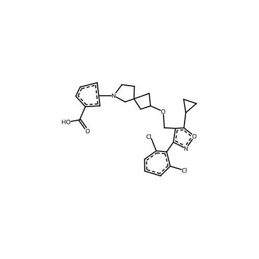 O=C(O)c1cccc(N2CCC3(CC(OCc4c(-c5c(Cl)cccc5Cl)noc4C4CC4)C3)C2)c1